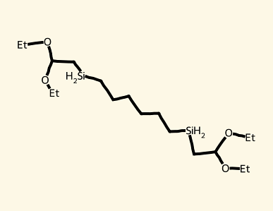 CCOC(C[SiH2]CCCCCC[SiH2]CC(OCC)OCC)OCC